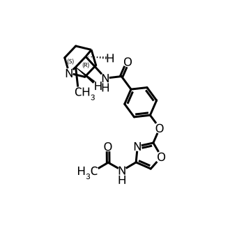 CC(=O)Nc1coc(Oc2ccc(C(=O)N[C@@H]3C4CCN(CC4)[C@H]3C)cc2)n1